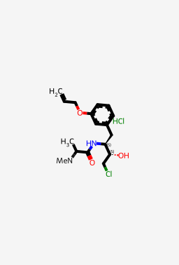 C=CCOc1cccc(C[C@H](NC(=O)C(C)NC)[C@H](O)CCl)c1.Cl